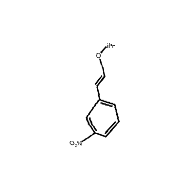 CC(C)OC=Cc1cccc([N+](=O)[O-])c1